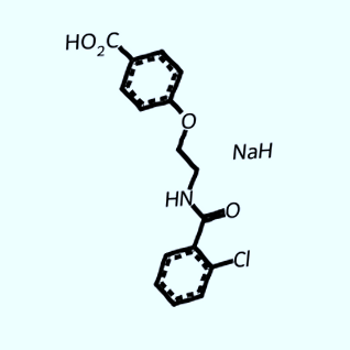 O=C(O)c1ccc(OCCNC(=O)c2ccccc2Cl)cc1.[NaH]